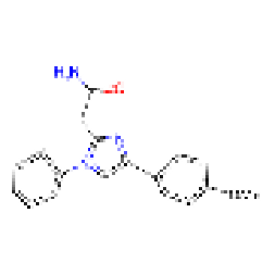 COc1ccc(-c2cn(-c3ccccc3)c(CC(N)=O)n2)cc1